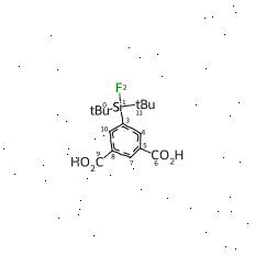 CC(C)(C)[Si](F)(c1cc(C(=O)O)cc(C(=O)O)c1)C(C)(C)C